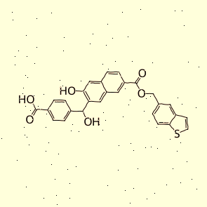 O=C(O)c1ccc(C(O)c2cc3cc(C(=O)OCc4ccc5sccc5c4)ccc3cc2O)cc1